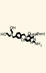 CCC[C@@H](C)Nc1nc(N)nc2ccn(Cc3ccc(CN(CCO)CCO)cc3OC)c(=O)c12